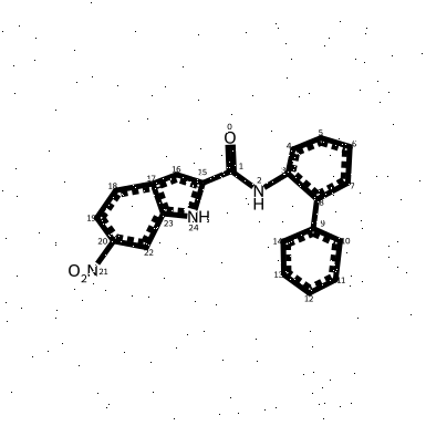 O=C(Nc1ccccc1-c1ccccc1)c1cc2ccc([N+](=O)[O-])cc2[nH]1